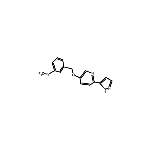 FC(F)(F)Sc1cccc(COc2ccc(-c3ccn[nH]3)nc2)c1